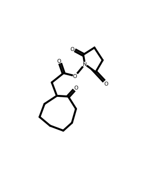 O=C(CC1CCCCCCC1=O)ON1C(=O)CCC1=O